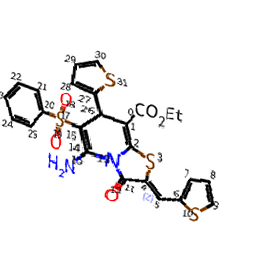 CCOC(=O)C1=c2s/c(=C\c3cccs3)c(=O)n2C(N)=C(S(=O)(=O)c2ccccc2)C1c1cccs1